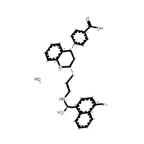 C[C@@H](NCCC[C@H]1C[C@@H](c2ccc(C(=O)O)cc2)c2ccccc2O1)c1ccc(F)c2ccccc12.Cl